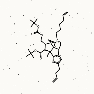 C=CCCCCN1CCC2c3cc(CCC=C)oc3[C@@H]3N(C(=O)OC(C)(C)C)[C@@H](COC(=O)OC(C)(C)C)CC23C1=O